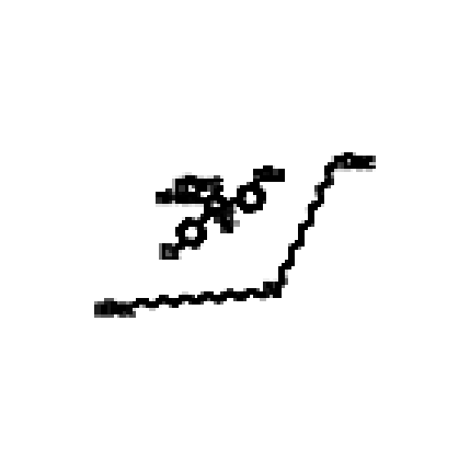 CCCCCCC1=C(c2ccc(CC)cc2)[N+](=[N-])C(c2cccc(CCCC)c2)=C1CCCCC.CCCCCCCCCCCCCCCCCCCCC[CH2][Ni][CH2]CCCCCCCCCCCCCCCCCCCCC